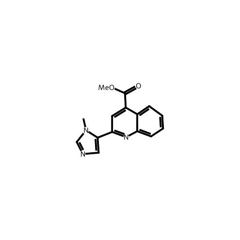 COC(=O)c1cc(-c2cncn2C)nc2ccccc12